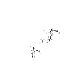 C=C1CCC(N2Cc3cc(N4CCC(CN5CCCN(c6cccc(B7CC(C)(C)C(C)(C)C7)c6)C5=C)CC4)ccc3C2=C)C(=C)N1